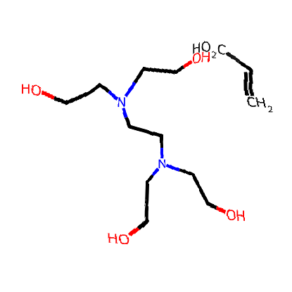 C=CC(=O)O.OCCN(CCO)CCN(CCO)CCO